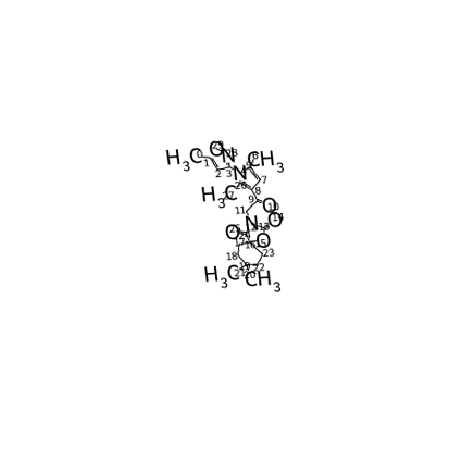 Cc1cc(-n2c(C)cc(C(=O)CN3C(=O)OC4(CCC(C)(C)CC4)C3=O)c2C)no1